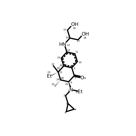 CCN(CC1CC1)[C@@H]1C(=O)c2ccc(NC(CO)CO)cc2[C@@](C)(CC)[C@H]1C